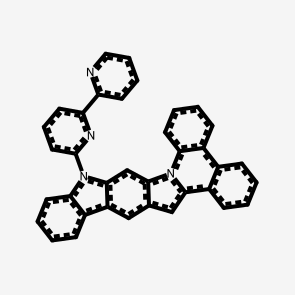 c1ccc(-c2cccc(-n3c4ccccc4c4cc5cc6c7ccccc7c7ccccc7n6c5cc43)n2)nc1